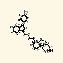 Fc1ccc(-n2cc(CCCCc3cccc4c3COC43CCNCC3)c3ccccc32)cc1